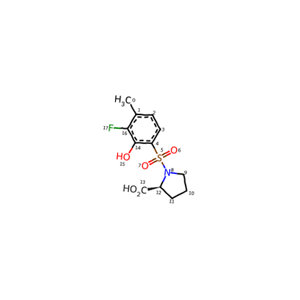 Cc1ccc(S(=O)(=O)N2CCC[C@H]2C(=O)O)c(O)c1F